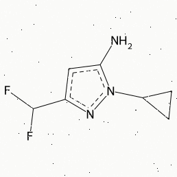 Nc1cc(C(F)F)nn1C1CC1